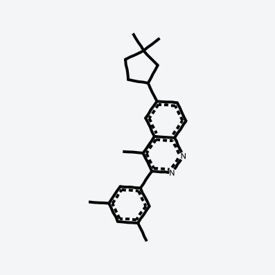 Cc1cc(C)cc(-c2nnc3ccc(C4CCC(C)(C)C4)cc3c2C)c1